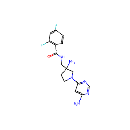 Nc1cc(N2CCC(N)(CNC(=O)c3ccc(F)cc3F)C2)ncn1